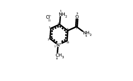 C[n+]1ccc(N)c(C(N)=O)c1.[Cl-]